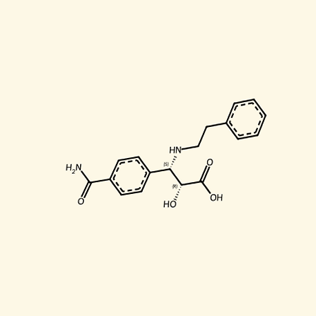 NC(=O)c1ccc([C@H](NCCc2ccccc2)[C@@H](O)C(=O)O)cc1